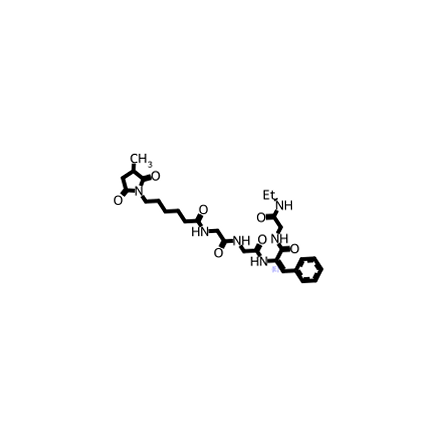 CCNC(=O)CNC(=O)/C(=C\c1ccccc1)NC(=O)CNC(=O)CNC(=O)CCCCCN1C(=O)CC(C)C1=O